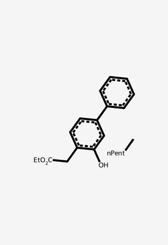 CCCCCC.CCOC(=O)Cc1ccc(-c2ccccc2)cc1O